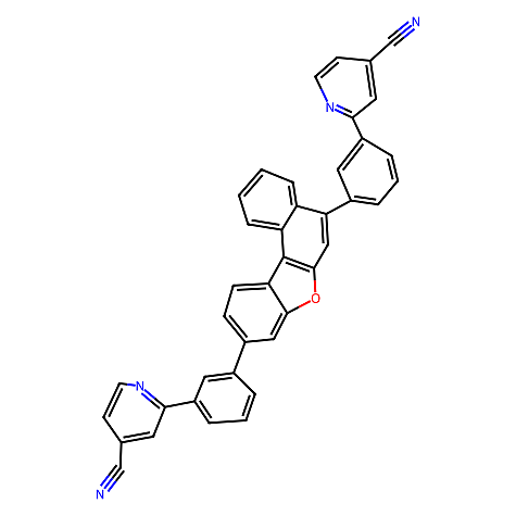 N#Cc1ccnc(-c2cccc(-c3ccc4c(c3)oc3cc(-c5cccc(-c6cc(C#N)ccn6)c5)c5ccccc5c34)c2)c1